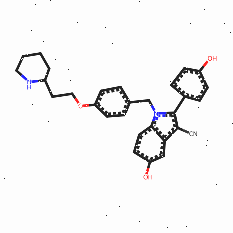 N#Cc1c(-c2ccc(O)cc2)n(Cc2ccc(OCCC3CCCCN3)cc2)c2ccc(O)cc12